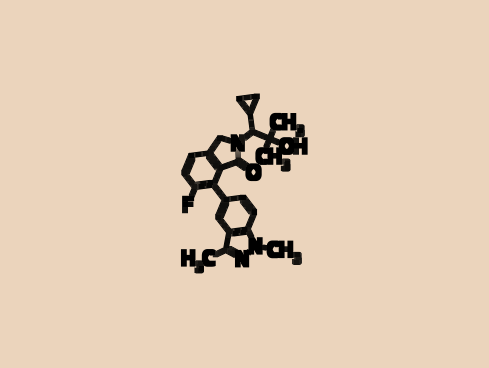 Cc1nn(C)c2ccc(-c3c(F)ccc4c3C(=O)N(C(C3CC3)C(C)(C)O)C4)cc12